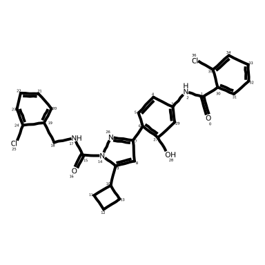 O=C(Nc1ccc(-c2cc(C3CCC3)n(C(=O)NCc3ccccc3Cl)n2)c(O)c1)c1ccccc1Cl